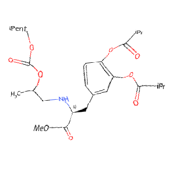 CCCC(C)OC(=O)OC(C)CN[C@@H](Cc1ccc(OC(=O)C(C)C)c(OC(=O)C(C)C)c1)C(=O)OC